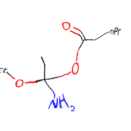 CCCC(=O)OC(C)(N)OCC